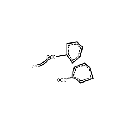 O=C([O-])c1ccccc1.O=C([O-])c1ccccc1.[C+2]=C=O